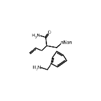 C=CCC(CCCCCCCCCC)C(N)=O.NCc1ccccc1